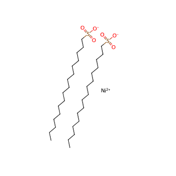 CCCCCCCCCCCCCCCCS(=O)(=O)[O-].CCCCCCCCCCCCCCCCS(=O)(=O)[O-].[Ni+2]